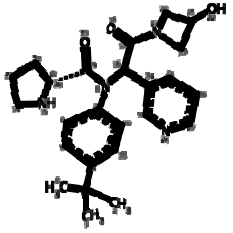 CC(C)(C)c1ccc(N(C(=O)[C@H]2CCCN2)C(C(=O)N2CC(O)C2)c2cccnc2)cc1